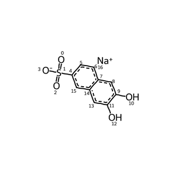 O=S(=O)([O-])c1ccc2cc(O)c(O)cc2c1.[Na+]